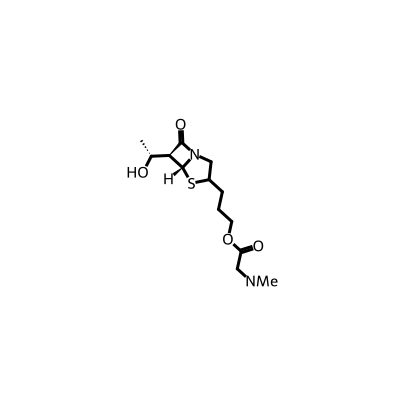 CNCC(=O)OCCCC1CN2C(=O)[C@H]([C@@H](C)O)[C@H]2S1